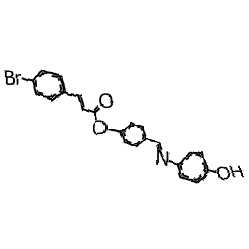 O=C(C=Cc1ccc(Br)cc1)Oc1ccc(/C=N/c2ccc(O)cc2)cc1